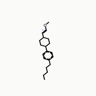 CCCCCc1ccc(C2CCC(/C=C/OC)CC2)cc1